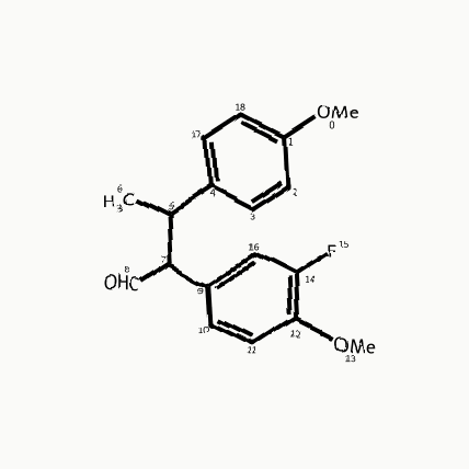 COc1ccc(C(C)C(C=O)c2ccc(OC)c(F)c2)cc1